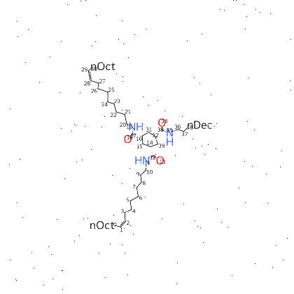 CCCCCCCC/C=C\CCCCCCCCNC(=O)[C@@H]1C[C@H](C(=O)NCCCCCCCC/C=C\CCCCCCCC)C[C@H](C(=O)NCCCCCCCCCCCC)C1